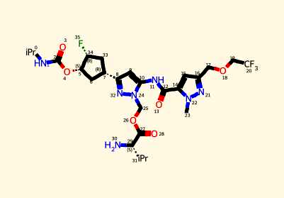 CC(C)NC(=O)O[C@H]1C[C@@H](c2cc(NC(=O)c3cc(COCC(F)(F)F)nn3C)n(COC(=O)[C@@H](N)C(C)C)n2)C[C@H]1F